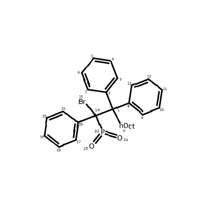 CCCCCCCCC(c1ccccc1)(c1ccccc1)C(Br)(c1ccccc1)P(=O)=O